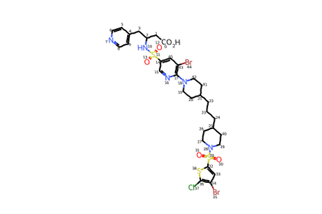 O=C(O)CC(Cc1ccncc1)NS(=O)(=O)c1cnc(N2CCC(CCCC3CCN(S(=O)(=O)c4cc(Br)c(Cl)s4)CC3)CC2)c(Br)c1